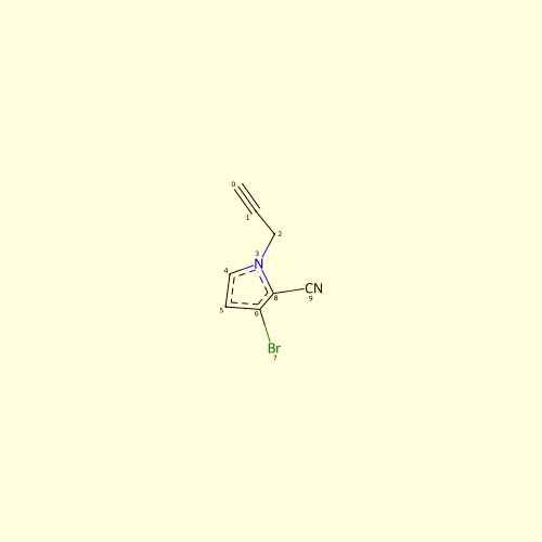 C#CCn1ccc(Br)c1C#N